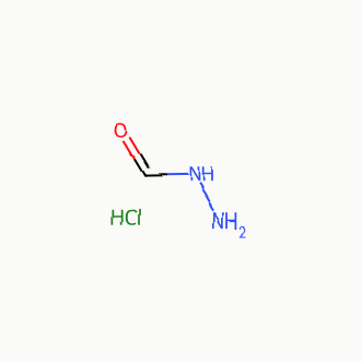 Cl.NNC=O